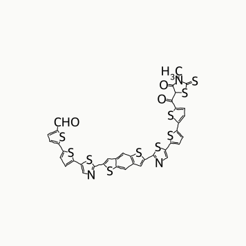 CN1C(=O)C(C(=O)c2ccc(-c3ccc(-c4cnc(-c5cc6cc7sc(-c8ncc(-c9ccc(-c%10ccc(C=O)s%10)s9)s8)cc7cc6s5)s4)s3)s2)SC1=S